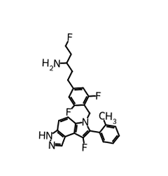 Cc1ccccc1-c1c(F)c2c3cn[nH]c3ccc2n1Cc1c(F)cc(CCC(N)CCF)cc1F